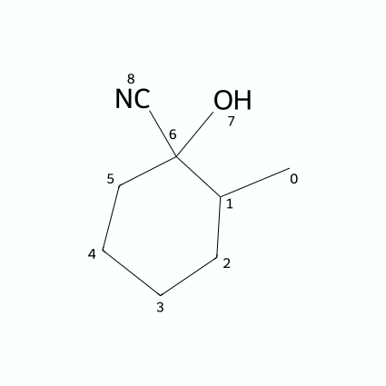 CC1CCCCC1(O)C#N